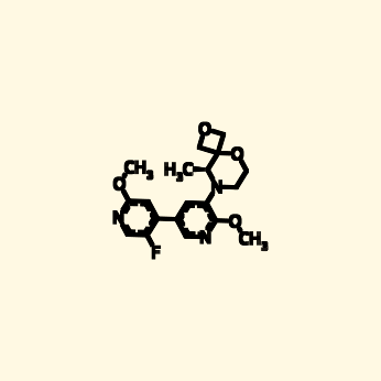 COc1cc(-c2cnc(OC)c(N3CCOC4(COC4)[C@@H]3C)c2)c(F)cn1